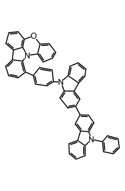 c1ccc(-n2c3ccccc3c3cc(-c4ccc5c(c4)c4ccccc4n5-c4ccc(-c5cccc6c7cccc8c7n(c56)-c5ccccc5O8)cc4)ccc32)cc1